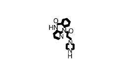 O=C1Nc2cccnc2N(C(=O)CCN2CCNCC2)c2ccccc21